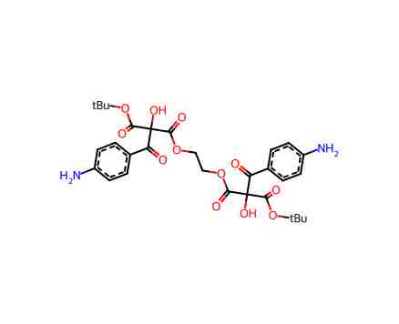 CC(C)(C)OC(=O)C(O)(C(=O)OCCOC(=O)C(O)(C(=O)OC(C)(C)C)C(=O)c1ccc(N)cc1)C(=O)c1ccc(N)cc1